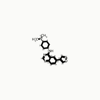 CN(C)[C@H]1CC[C@H](Nc2ncnc3ccc(-c4cnoc4)cc23)CC1